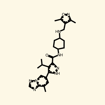 Cc1noc(C)c1CNC1CCC(NC(=O)c2n[nH]c(-c3cc(C)c4ncnn4c3)c2C(C)C)CC1